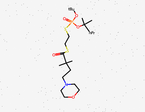 CCCC(C)(C)OP(=O)(OC(C)(C)C)SCCSC(=O)C(C)(C)CCN1CCOCC1